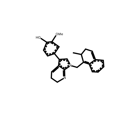 COc1cc(-c2cn(CC3=c4ccccc4=CCC3C)c3c2=CCCN=3)ccc1O